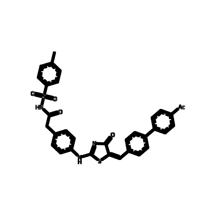 CC(=O)c1ccc(-c2ccc(C=C3SC(Nc4ccc(CC(=O)NS(=O)(=O)c5ccc(C)cc5)cc4)=NC3=O)cc2)cc1